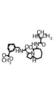 CN[C@@H](C)C(=O)N[C@H]1CCCC[C@H]2CC[C@@H](C(=O)NCc3cccc(C(=O)OC)c3)N2C1=O